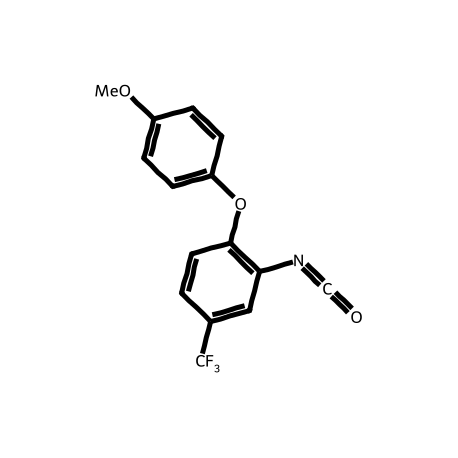 COc1ccc(Oc2ccc(C(F)(F)F)cc2N=C=O)cc1